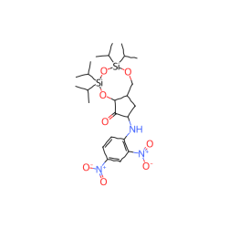 CC(C)[Si]1(C(C)C)OCC2CC(Nc3ccc([N+](=O)[O-])cc3[N+](=O)[O-])C(=O)C2O[Si](C(C)C)(C(C)C)O1